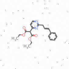 CCOC(=O)C(C(=O)OCC)c1ccnc(C/C=C/c2ccccc2)n1